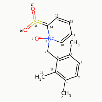 Cc1ccc(C)c(C[N+]2([O-])C=CC=CC2=S(=O)=O)c1C